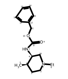 CCN1CC[C@@H](C)[C@@H](NC(=O)OCc2ccccc2)C1